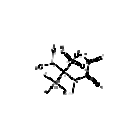 C=C(C)C(=O)C(C)C(C(=O)[O-])([N+](C)(C)C)S(=O)(=O)O